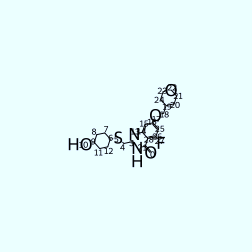 O=c1[nH]c(CS[C@H]2CC[C@@H](O)CC2)nc2cc(OCC3CCOCC3)cc(F)c12